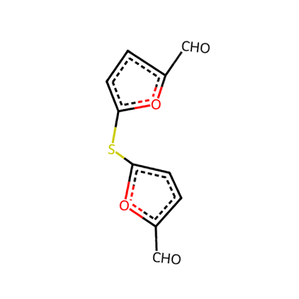 O=Cc1ccc(Sc2ccc(C=O)o2)o1